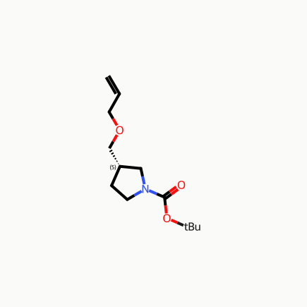 C=CCOC[C@H]1CCN(C(=O)OC(C)(C)C)C1